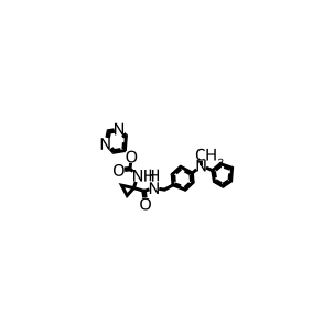 CN(c1ccccc1)c1ccc(CNC(=O)C2(NC(=O)Oc3cncnc3)CC2)cc1